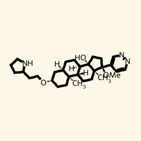 CO[C@]1(c2ccnnc2)CC[C@]2(O)[C@@H]3CC[C@@H]4C[C@@H](OCCC5CCCN5)CC[C@]4(C)[C@H]3CC[C@]12C